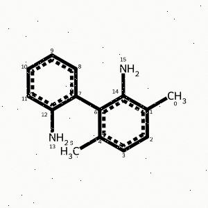 Cc1ccc(C)c(-c2ccccc2N)c1N